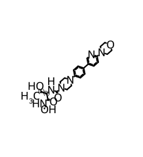 C[C@H](O)[C@@H](NC(=O)N1CCN(c2ccc(-c3ccc(N4CCOCC4)nc3)cc2)CC1)C(=O)NO